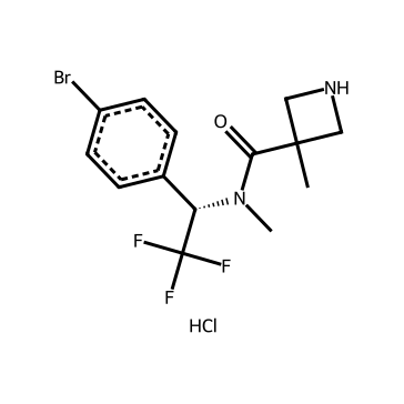 CN(C(=O)C1(C)CNC1)[C@@H](c1ccc(Br)cc1)C(F)(F)F.Cl